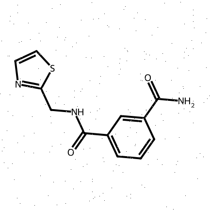 NC(=O)c1cccc(C(=O)NCc2nccs2)c1